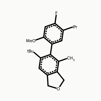 COc1cc(F)c(C(C)C)cc1-c1c(C(C)(C)C)cc2c(c1C)COC2